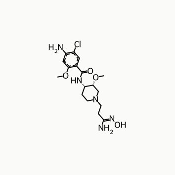 COc1cc(N)c(Cl)cc1C(=O)N[C@H]1CCN(CCC(N)=NO)C[C@H]1OC